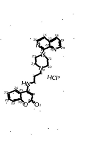 Cl.O=c1cc(NCCCN2CCN(c3nccc4cccnc34)CC2)c2ccccc2o1